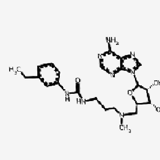 CCc1cccc(NC(=O)NCCCN(C)C[C@H]2OC(n3cnc4c(N)ncnc43)[C@H](O)[C@@H]2O)c1